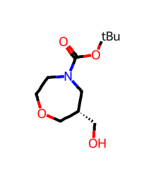 CC(C)(C)OC(=O)N1CCOC[C@@H](CO)C1